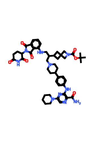 CC(C)(C)OC(=O)N1CC2(CC(C(CNc3cccc4c3C(=O)N(C3CCC(=O)NC3=O)C4=O)CN3CCC(c4ccc(Nc5nc(N6CCCCC6)cnc5C(N)=O)cc4)CC3)C2)C1